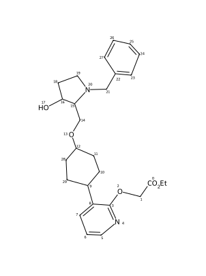 CCOC(=O)COc1ncccc1C1CCC(OCC2C(O)CCN2Cc2ccccc2)CC1